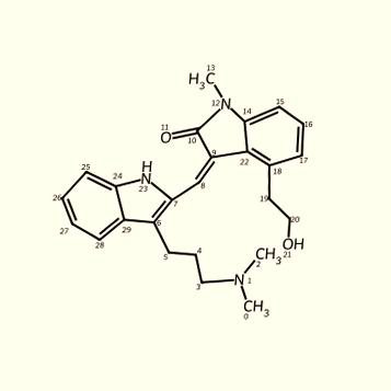 CN(C)CCCc1c(/C=C2\C(=O)N(C)c3cccc(CCO)c32)[nH]c2ccccc12